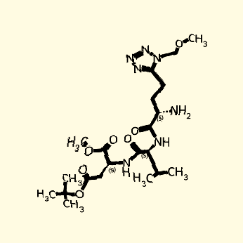 COCn1nnnc1CC[C@H](N)C(=O)N[C@H](C(=O)N[C@@H](CC(=O)OC(C)(C)C)C(=O)OC)C(C)C